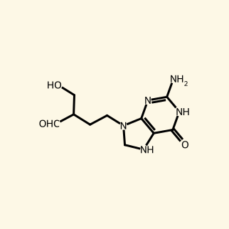 Nc1nc2c(c(=O)[nH]1)NCN2CCC(C=O)CO